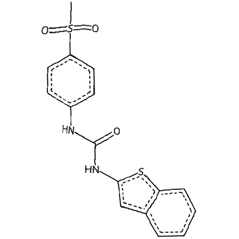 CS(=O)(=O)c1ccc(NC(=O)Nc2cc3ccccc3s2)cc1